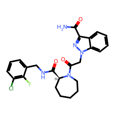 NC(=O)c1nn(CC(=O)N2CCCCC[C@H]2C(=O)NCc2cccc(Cl)c2F)c2ccccc12